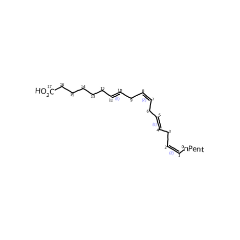 CCCCC/C=C\C/C=C/C/C=C\C/C=C/CCCCCC(=O)O